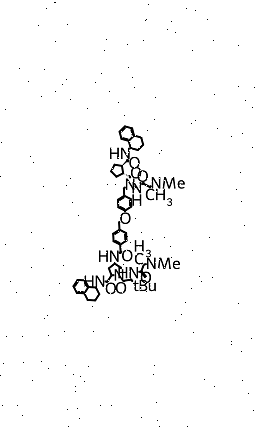 CNC(C)C(=O)NC(C(=O)N1C[C@@H](NC(=O)c2ccc(COc3ccc(CN(NC(=O)C(C)NC)C(=O)[C@@H]4CCC[C@H]4C(=O)N[C@@H]4CCCc5ccccc54)cc3)cc2)CC1C(=O)N[C@@H]1CCCc2ccccc21)C(C)(C)C